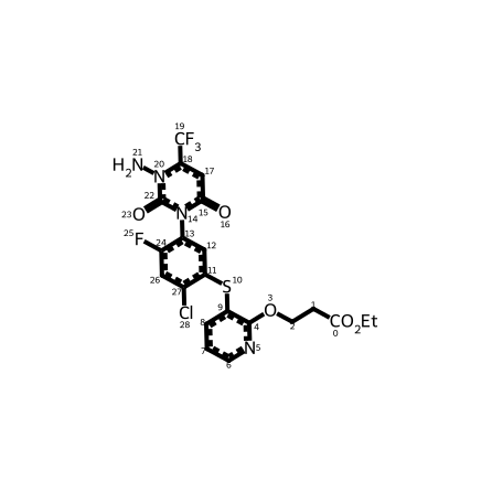 CCOC(=O)CCOc1ncccc1Sc1cc(-n2c(=O)cc(C(F)(F)F)n(N)c2=O)c(F)cc1Cl